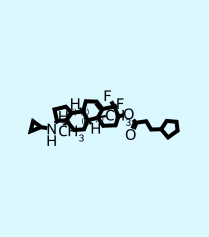 C[C@]12CCC(OC(=O)CCC3CCCC3)C(F)(F)C1=CC[C@@H]1[C@H]2CC[C@]2(C)C(NC3CC3)CC[C@@H]12